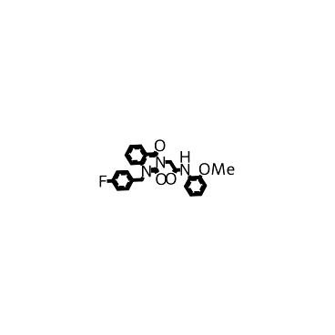 COc1ccccc1NC(=O)Cn1c(=O)c2ccccc2n(Cc2ccc(F)cc2)c1=O